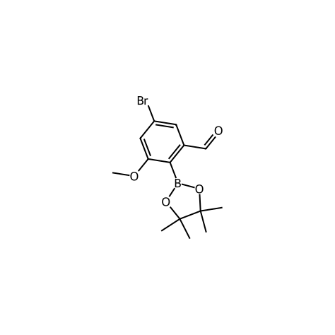 COc1cc(Br)cc(C=O)c1B1OC(C)(C)C(C)(C)O1